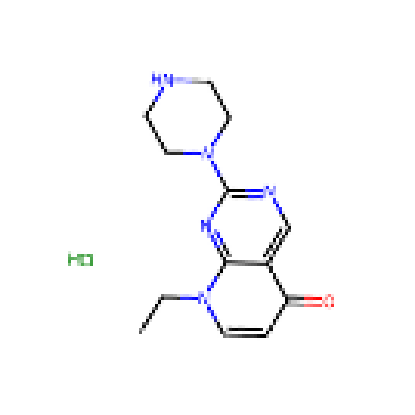 CCn1ccc(=O)c2cnc(N3CCNCC3)nc21.Cl